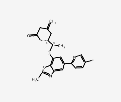 C=C1CC(=O)C[C@@H]([C@@H](C)Oc2cc(-c3ccc(F)cn3)cc3nc(C)sc23)C1